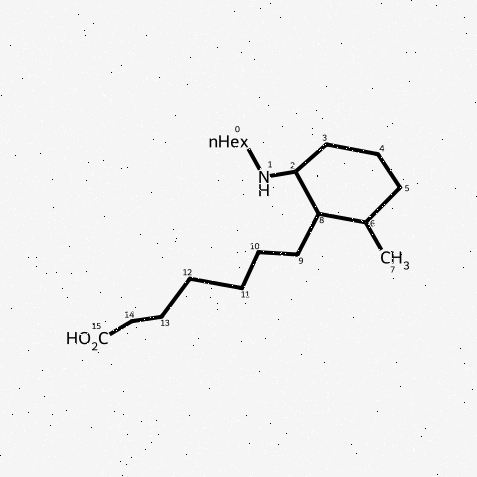 CCCCCCNC1CCCC(C)C1CCCCCCC(=O)O